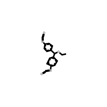 CCOC(c1ccc(N=C=O)cc1)c1ccc(N=C=O)cc1